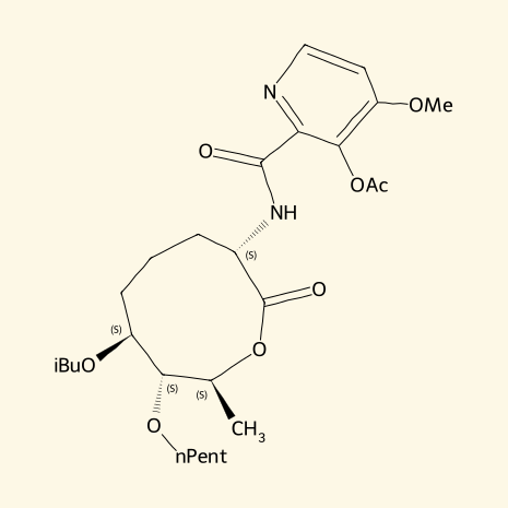 CCCCCO[C@H]1[C@H](C)OC(=O)[C@@H](NC(=O)c2nccc(OC)c2OC(C)=O)CCC[C@@H]1OCC(C)C